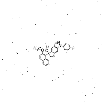 COc1ccc2ccccc2c1C(O)(CF)c1ccc2c(cnn2-c2ccc(F)cc2)c1